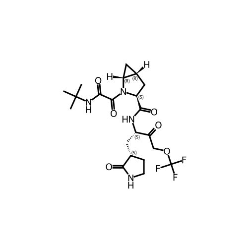 CC(C)(C)NC(=O)C(=O)N1[C@@H]2C[C@@H]2C[C@H]1C(=O)N[C@@H](C[C@@H]1CCNC1=O)C(=O)COC(F)(F)F